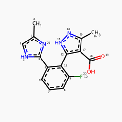 Cc1c[nH]c(-c2cccc(F)c2-c2[nH]nc(C)c2C(=O)O)n1